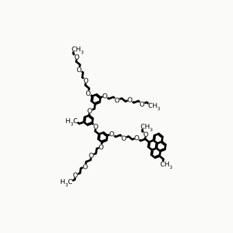 CCOCCOCCOCCOc1cc(COc2cc(CC)cc(OCc3cc(OCCOCCOCCOCC)cc(OCCOCCOCC(OCC)c4cc5ccc(CC)c6ccc7cccc4c7c56)c3)c2)cc(OCCOCCOCCOCC)c1